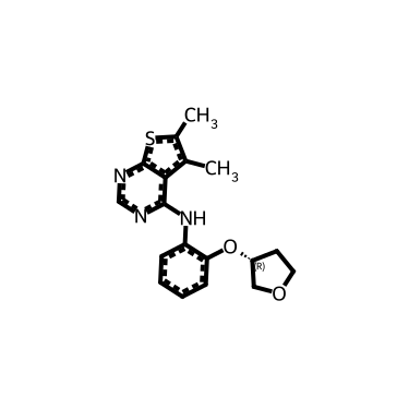 Cc1sc2ncnc(Nc3ccccc3O[C@@H]3CCOC3)c2c1C